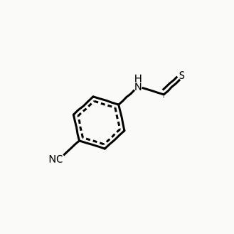 N#Cc1ccc(N[C]=S)cc1